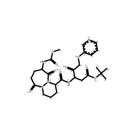 COC(=O)NC1CCC(=O)N2CCCC(C(=O)NC(CC(=O)OC(C)(C)C)C(=O)COc3cccnc3)N2C1=O